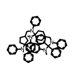 CN(c1ccccc1)C1(N(C)c2ccccc2)CCC(CN(c2ccccc2)C2(N(C)c3ccccc3)CCC(CN(c3ccccc3)C(c3ccccc3)(c3ccccc3)N(C)c3ccccc3)CC2)C1